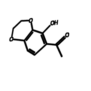 CC(=O)c1ccc2c(c1O)OCCO2